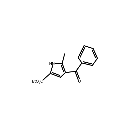 CCOC(=O)c1cc(C(=O)c2ccccc2)c(C)[nH]1